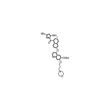 COc1cc2c(Oc3ccc4c(C(=O)n5nc(C(C)(C)C)cc5N)cccc4c3)ccnc2cc1OCCCN1CCOCC1